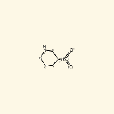 O=[SH](=O)[C@H]1CCCNC1